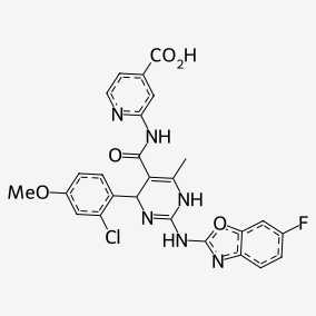 COc1ccc(C2N=C(Nc3nc4ccc(F)cc4o3)NC(C)=C2C(=O)Nc2cc(C(=O)O)ccn2)c(Cl)c1